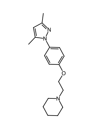 Cc1cc(C)n(-c2ccc(OCCN3CCCCC3)cc2)n1